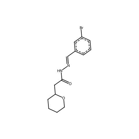 O=C(CC1CCCCO1)NN=Cc1cccc(Br)c1